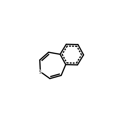 C1=Cc2ccccc2C=CS1